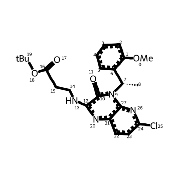 COc1ccccc1[C@H](C)n1c(=O)c(NCCC(=O)OC(C)(C)C)nc2ccc(Cl)nc21